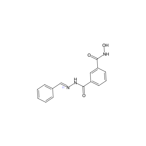 O=C(NO)c1cccc(C(=O)N/N=C/c2ccccc2)c1